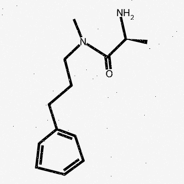 C[C@H](N)C(=O)N(C)CCCc1ccccc1